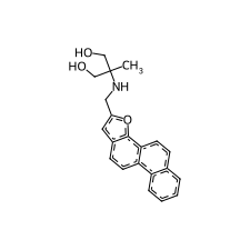 CC(CO)(CO)NCc1cc2ccc3c4ccccc4ccc3c2o1